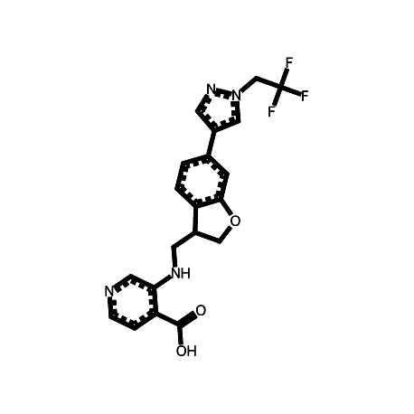 O=C(O)c1ccncc1NCC1COc2cc(-c3cnn(CC(F)(F)F)c3)ccc21